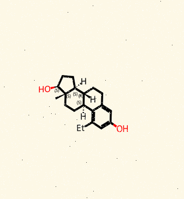 CCc1cc(O)cc2c1[C@H]1CC[C@]3(C)[C@@H](O)CC[C@H]3[C@@H]1CC2